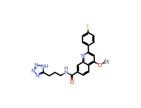 CCOc1cc(-c2ccc(F)cc2)nc2cc(C(=O)NCCCc3nnn[nH]3)ccc12